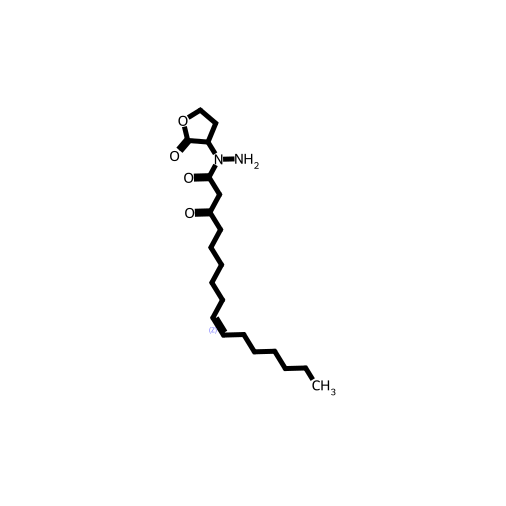 CCCCCC/C=C\CCCCCC(=O)CC(=O)N(N)C1CCOC1=O